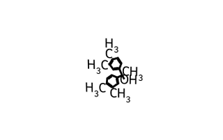 Cc1ccc(C(C)(O)c2ccc(C)c(C)c2)cc1C